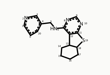 c1cncc(CNc2ncnc3c2C2CCCCC2S3)c1